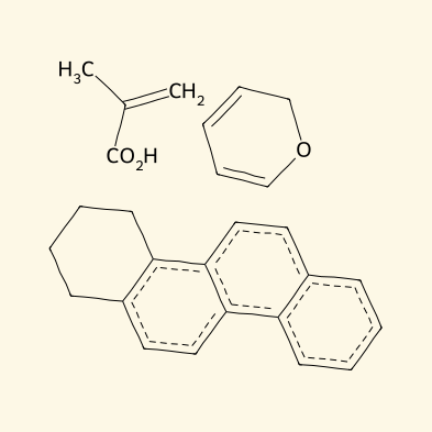 C1=CCOC=C1.C=C(C)C(=O)O.c1ccc2c(c1)ccc1c3c(ccc12)CCCC3